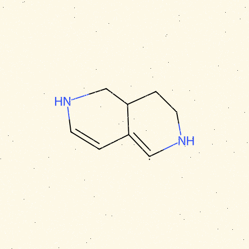 [C]1=C2C=CNCC2CCN1